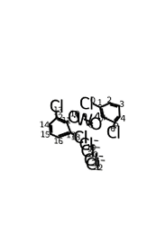 Clc1cccc(Cl)c1[O][W+4][O]c1c(Cl)cccc1Cl.[Cl-].[Cl-].[Cl-].[Cl-]